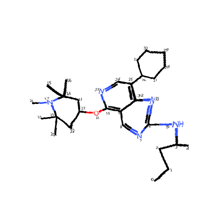 CCCC(C)Nc1ncc2c(OC3CC(C)(C)N(C)C(C)(C)C3)ncc(C3CCCCC3)c2n1